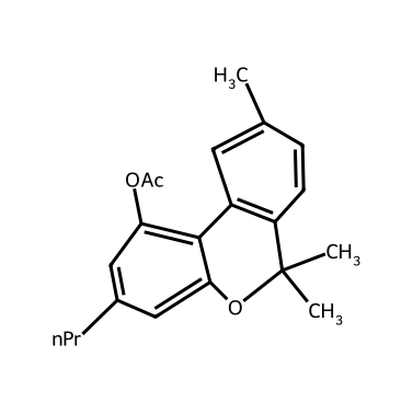 CCCc1cc(OC(C)=O)c2c(c1)OC(C)(C)c1ccc(C)cc1-2